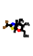 CC(=O)OC[C@H]1O[C@@H]2SC(C(Br)Br)=N[C@@H]2[C@@H](C)[C@@H]1C